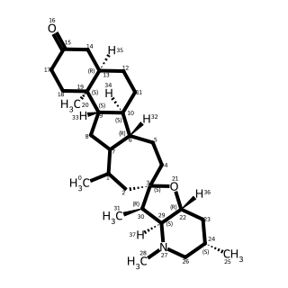 CC1C[C@]2(CC[C@@H]3C1C[C@H]1[C@H]3CC[C@@H]3CC(=O)CC[C@@]31C)O[C@@H]1C[C@H](C)CN(C)[C@H]1[C@H]2C